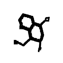 Fc1cc(Cl)c2cccnc2c1CBr